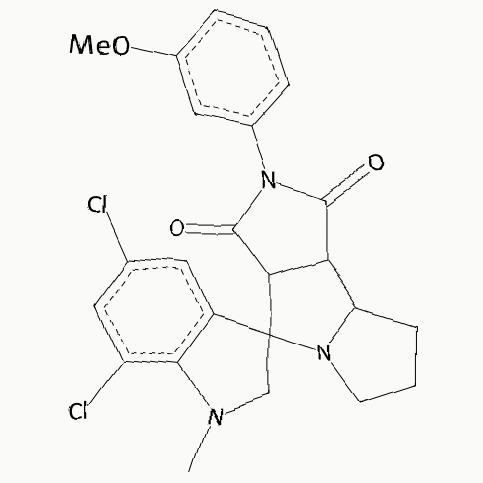 COc1cccc(N2C(=O)C3C4CCCN4C4(CN(C)c5c(Cl)cc(Cl)cc54)C3C2=O)c1